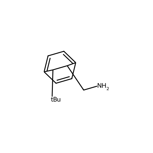 CC(C)(C)C1c2ccc(cc2)C1CN